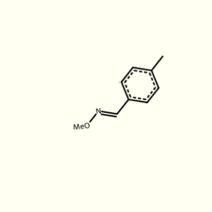 CON=Cc1[c]cc(C)cc1